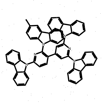 Cc1ccc2c(c1)c1ccccc1n2-c1nc(-n2c3ccccc3c3ccccc32)ccc1-c1cc(-n2c3ccccc3c3ccccc32)nc(-n2c3ccccc3c3ccccc32)c1